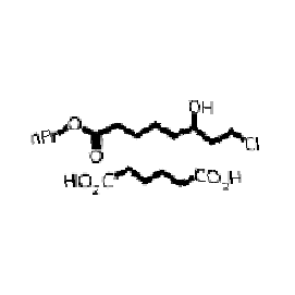 CCCOC(=O)CCCCC(O)CCCl.O=C(O)CCCCC(=O)O